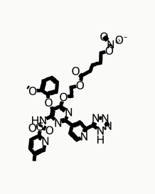 COc1ccccc1Oc1c(NS(=O)(=O)c2ccc(C)cn2)nc(-c2ccnc(-c3nnn[nH]3)c2)nc1OCCOC(=O)CCCCO[N+](=O)[O-]